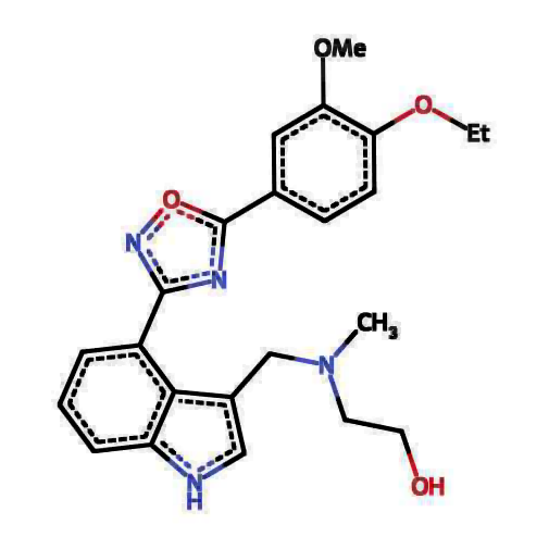 CCOc1ccc(-c2nc(-c3cccc4[nH]cc(CN(C)CCO)c34)no2)cc1OC